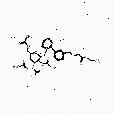 CCOC(=O)COCc1cccc(-c2ccccc2O[C@H]2O[C@H](COC(C)=O)[C@@H](OC(C)=O)[C@H](OC(C)=O)[C@@H]2OC(C)=O)c1